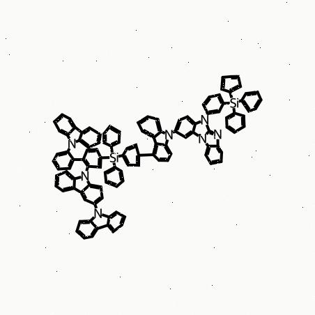 c1ccc([Si](c2ccccc2)(c2ccccc2)c2cccc(-n3c4ccc(-n5c6ccccc6c6c(-c7ccc([Si](c8ccccc8)(c8ccccc8)c8ccc(-c9ccccc9-n9c%10ccccc%10c%10ccccc%109)c(-n9c%10ccccc%10c%10cc(-n%11c%12ccccc%12c%12ccccc%12%11)ccc%109)c8)cc7)cccc65)cc4n4c5ccccc5nc34)c2)cc1